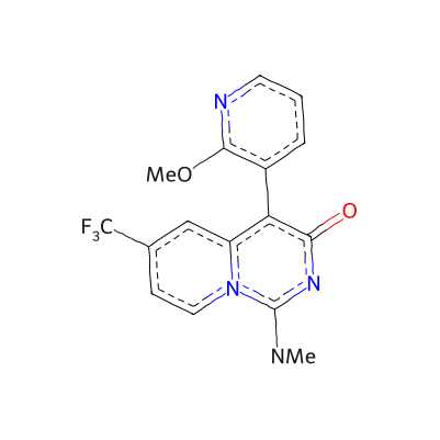 CNc1nc(=O)c(-c2cccnc2OC)c2cc(C(F)(F)F)ccn12